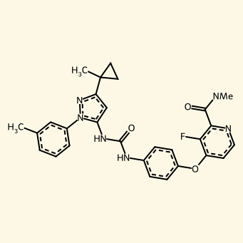 CNC(=O)c1nccc(Oc2ccc(NC(=O)Nc3cc(C4(C)CC4)nn3-c3cccc(C)c3)cc2)c1F